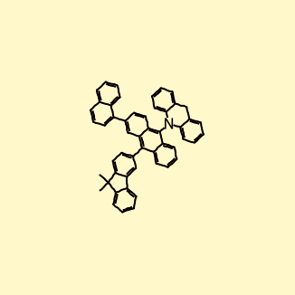 CC1(C)c2ccccc2-c2cc(-c3c4ccccc4c(N4c5ccccc5Cc5ccccc54)c4ccc(-c5cccc6ccccc56)cc34)ccc21